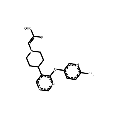 O=CC(F)=CN1CCC(c2cncnc2Oc2ccc(C(F)(F)F)nc2)CC1